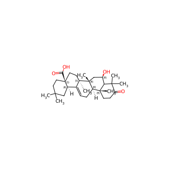 CC1(C)CC[C@]2(C(=O)O)CC[C@]3(C)C(=CC[C@@H]4[C@@]5(C)CCC(=O)C(C)(C)C5[C@H](O)C[C@]43C)[C@H]2C1